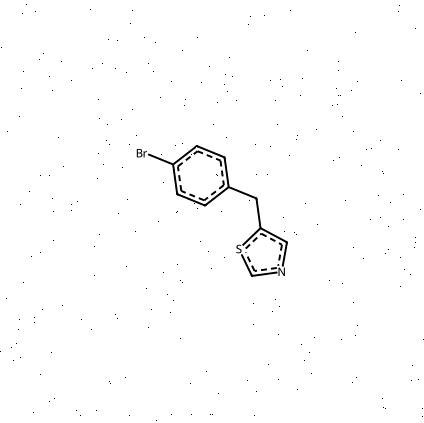 Brc1ccc(Cc2cncs2)cc1